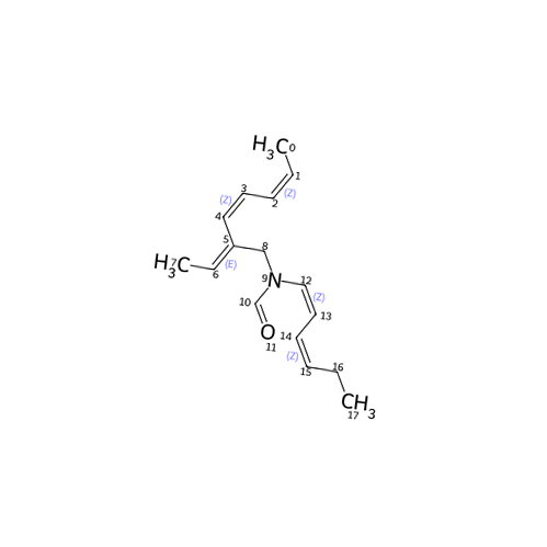 C\C=C/C=C\C(=C/C)CN(C=O)/C=C\C=C/CC